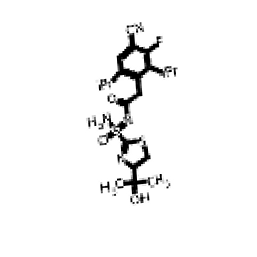 CC(C)c1cc(C#N)c(F)c(C(C)C)c1CC(=O)N=S(N)(=O)C1=NC(C(C)(C)O)CS1